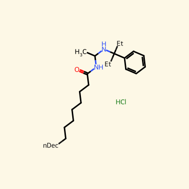 CCCCCCCCCCCCCCCCCC(=O)NC(C)NC(CC)(CC)c1ccccc1.Cl